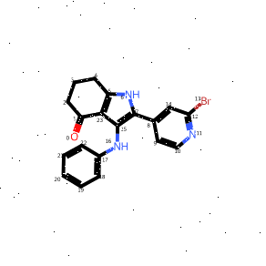 O=C1CCCc2[nH]c(-c3ccnc(Br)c3)c(Nc3ccccc3)c21